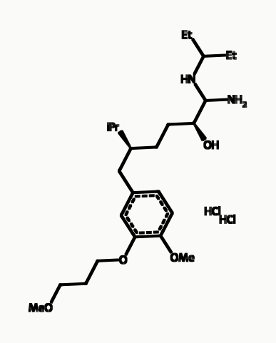 CCC(CC)NC(N)[C@@H](O)CC[C@@H](Cc1ccc(OC)c(OCCCOC)c1)C(C)C.Cl.Cl